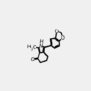 Cc1[nH]c(-c2ccc3c(c2)OCO3)c2c1C(=O)CCC2